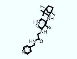 CC1(C)[C@H]2CC[C@@](C)(C2)[C@H]1N/C(C=N)=C(\Br)C(=O)NCC(=O)NCc1ccncc1